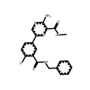 CNC(=O)c1nc(-c2ccc(Cl)c(C(=O)NCc3ccccc3)c2)cnc1N